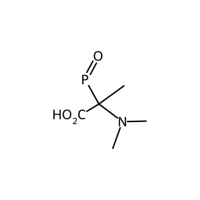 CN(C)C(C)(P=O)C(=O)O